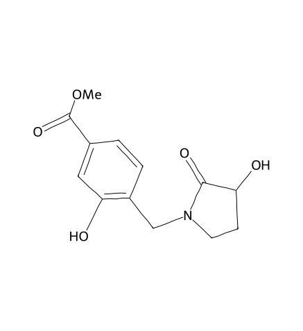 COC(=O)c1ccc(CN2CCC(O)C2=O)c(O)c1